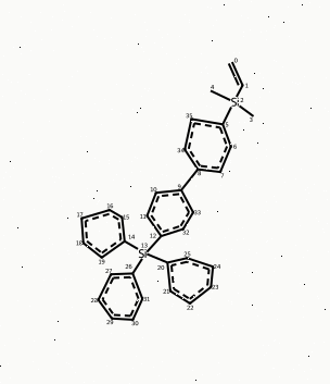 C=C[Si](C)(C)c1ccc(-c2ccc([Si](c3ccccc3)(c3ccccc3)c3ccccc3)cc2)cc1